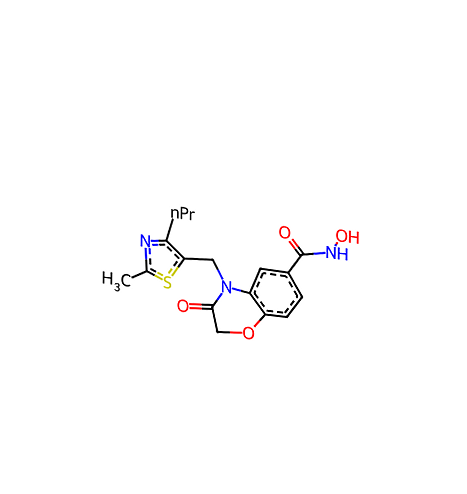 CCCc1nc(C)sc1CN1C(=O)COc2ccc(C(=O)NO)cc21